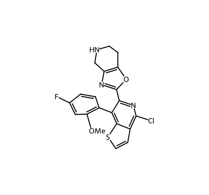 COc1cc(F)ccc1-c1c(-c2nc3c(o2)CCNC3)nc(Cl)c2ccsc12